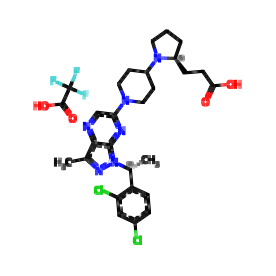 Cc1nn([C@H](C)c2ccc(Cl)cc2Cl)c2nc(N3CCC(N4CCC[C@H]4CCC(=O)O)CC3)cnc12.O=C(O)C(F)(F)F